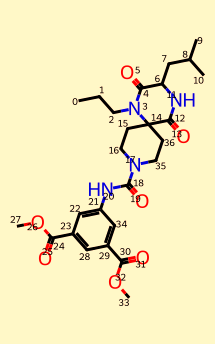 CCCN1C(=O)C(CC(C)C)NC(=O)C12CCN(C(=O)Nc1cc(C(=O)OC)cc(C(=O)OC)c1)CC2